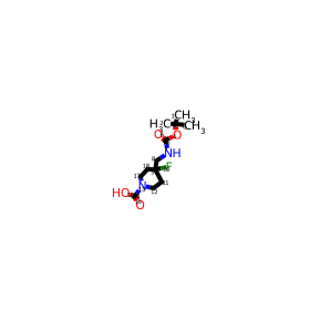 CC(C)(C)OC(=O)NCC1(F)CCN(C(=O)O)CC1